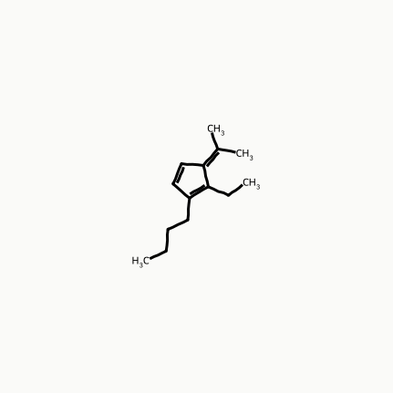 CCCCC1=C(CC)C(=C(C)C)C=C1